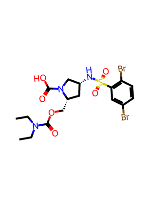 CCN(CC)C(=O)OC[C@H]1C[C@@H](NS(=O)(=O)c2cc(Br)ccc2Br)CN1C(=O)O